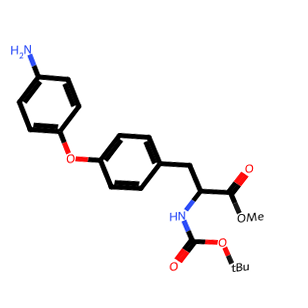 COC(=O)C(Cc1ccc(Oc2ccc(N)cc2)cc1)NC(=O)OC(C)(C)C